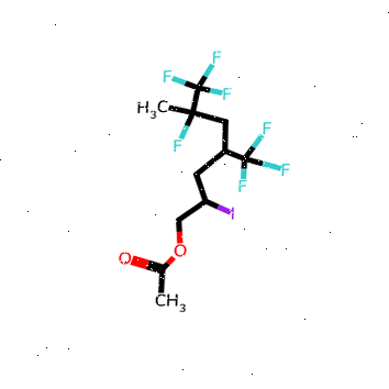 CC(=O)OCC(I)CC(CC(C)(F)C(F)(F)F)C(F)(F)F